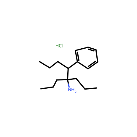 CCCC(c1ccccc1)C(N)(CCC)CCC.Cl